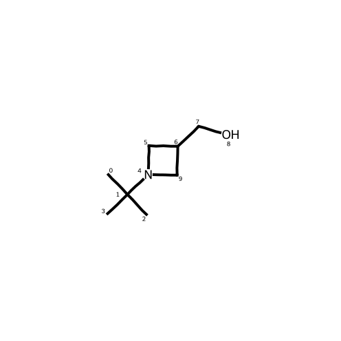 CC(C)(C)N1CC(CO)C1